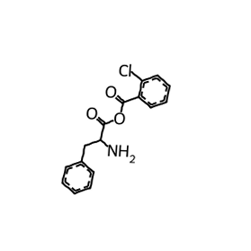 NC(Cc1ccccc1)C(=O)OC(=O)c1ccccc1Cl